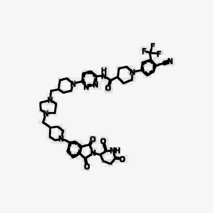 N#Cc1ccc(N2CCC(C(=O)Nc3ccc(N4CCC(CN5CCN(CC6CCN(c7ccc8c(c7)C(=O)N(C7CCC(=O)NC7=O)C8=O)CC6)CC5)CC4)nn3)CC2)cc1C(F)(F)F